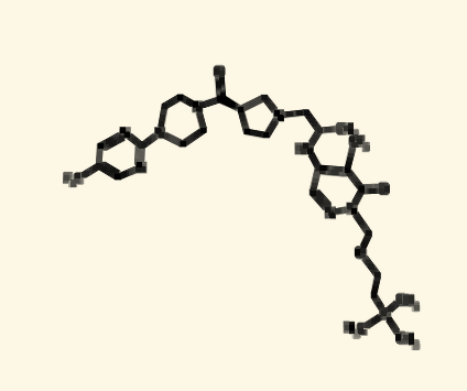 CC(CN1CC[C@@H](C(=O)N2CCN(c3ncc(C(F)(F)F)cn3)CC2)C1)Nc1cnn(COCC[Si](C)(C)C)c(=O)c1C(F)(F)F